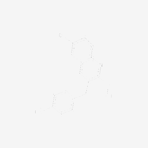 COc1nc2ccc(Br)cc2cc1Cc1ccc(C)cc1